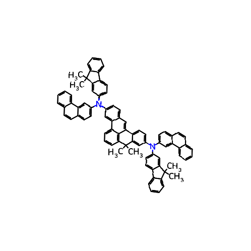 CC1(C)c2ccccc2-c2ccc(N(c3ccc4c(c3)C(C)(C)c3cccc5c3c-4cc3ccc(N(c4ccc6c(c4)C(C)(C)c4ccccc4-6)c4ccc6ccc7ccccc7c6c4)cc35)c3ccc4ccc5ccccc5c4c3)cc21